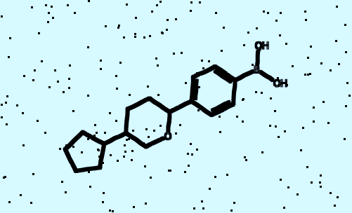 OB(O)c1ccc(C2CCC(C3CCCC3)CO2)cc1